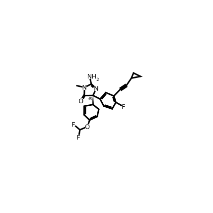 CN1C(=O)[C@](c2ccc(F)c(C#CC3CC3)c2)(C2C=CC(OC(F)F)=CC2)N=C1N